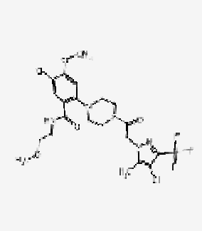 COCCNC(=O)c1cc(Cl)c(OC)cc1N1CCN(C(=O)Cn2nc(C(F)(F)F)c(Cl)c2C)CC1